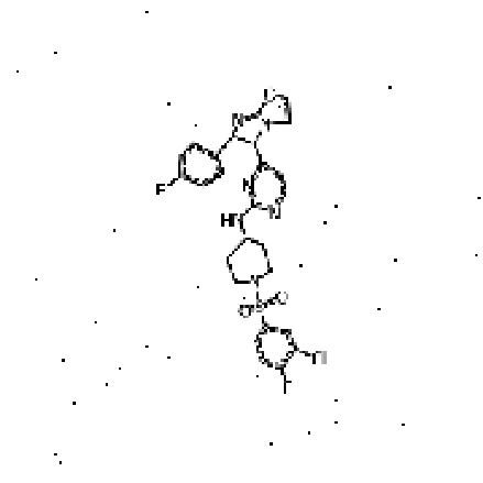 O=S(=O)(c1ccc(F)c(Cl)c1)N1CCC(Nc2nccc(C3C(c4ccc(F)cc4)N=C4OC=CN43)n2)CC1